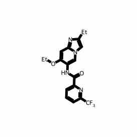 CCOc1cc2nc(CC)cn2cc1NC(=O)c1cccc(C(F)(F)F)n1